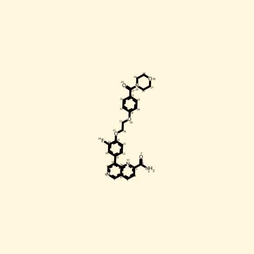 NC(=O)c1ccc2cncc(-c3ccc(OCCOc4ccc(C(=O)N5CCOCC5)cc4)c(F)c3)c2n1